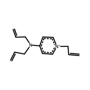 C=CCN(CC=C)c1cc[n+](CC=C)cc1